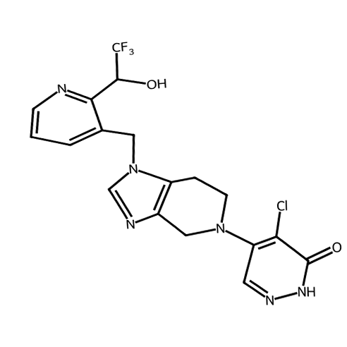 O=c1[nH]ncc(N2CCc3c(ncn3Cc3cccnc3C(O)C(F)(F)F)C2)c1Cl